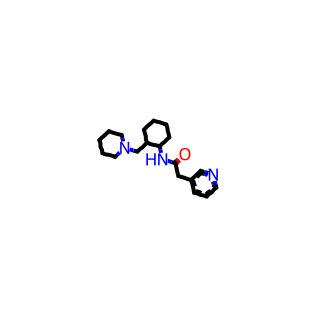 O=C(Cc1cccnc1)NC1CCCCC1CN1CCCCC1